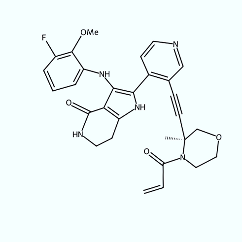 C=CC(=O)N1CCOC[C@]1(C)C#Cc1cnccc1-c1[nH]c2c(c1Nc1cccc(F)c1OC)C(=O)NCC2